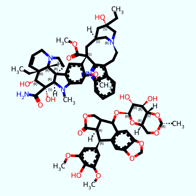 CC[C@]1(O)C[C@H]2C[N@](CCc3c([nH]c4ccccc34)[C@@](C(=O)OC)(c3cc4c(cc3OC)N(C)[C@H]3[C@@](O)(C(N)=O)[C@H](O)[C@]5(CC)C=CCN6CC[C@]43[C@@H]65)C2)C1.COc1cc([C@@H]2c3cc4c(cc3C(O[C@@H]3O[C@@H]5CO[C@@H](C)O[C@H]5[C@H](O)[C@H]3O)C3COC(=O)[C@@H]32)OCO4)cc(OC)c1O